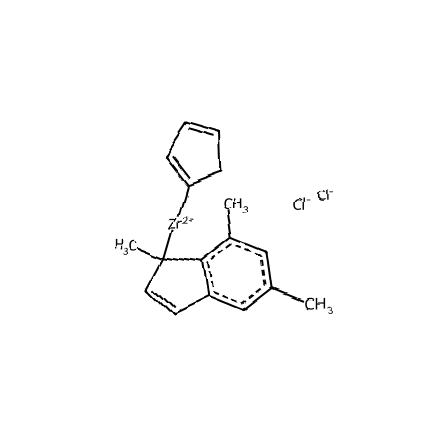 Cc1cc(C)c2c(c1)C=C[C]2(C)[Zr+2][C]1=CC=CC1.[Cl-].[Cl-]